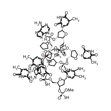 COP(=O)(S)O[C@@H]1C[C@H](n2cc(C)c(N)nc2=O)O[C@@H]1COP(=O)(S)O[C@@H]1C[C@H](n2cc(C)c(=O)[nH]c2=O)O[C@@H]1COP(=O)(S)O[C@@H]1C[C@H](n2cnc3c(N)ncnc32)O[C@@H]1COP(=O)(S)O[C@@H]1C[C@H](n2cc(C)c(=O)[nH]c2=O)O[C@@H]1COP(=O)(S)O[C@@H]1C[C@H](n2cc(C)c(=O)[nH]c2=O)O[C@@H]1COP(=O)(S)O[C@@H]1C[C@H](n2cc(C)c(=O)[nH]c2=O)O[C@@H]1COP(=O)(S)O[C@@H]1C[C@H](n2cc(C)c(N)nc2=O)O[C@@H]1C